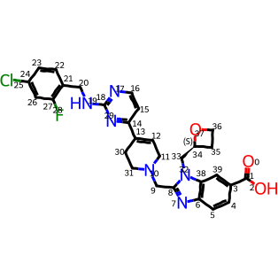 O=C(O)c1ccc2nc(CN3CC=C(c4ccnc(NCc5ccc(Cl)cc5F)n4)CC3)n(C[C@@H]3CCO3)c2c1